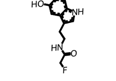 O=C(CF)NCCc1c[nH]c2ccc(O)cc12